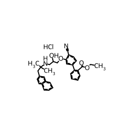 CCOC(=O)c1ccccc1-c1ccc(C#N)c(OCC(O)CNC(C)(C)Cc2ccc3ccccc3c2)c1.Cl